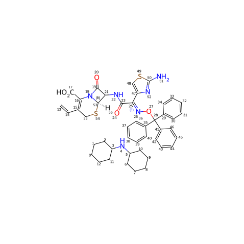 C1CCC(NC2CCCCC2)CC1.C=CC1=C(C(=O)O)N2C(=O)C(NC(=O)/C(=N/OC(c3ccccc3)(c3ccccc3)c3ccccc3)c3csc(N)n3)[C@H]2SC1